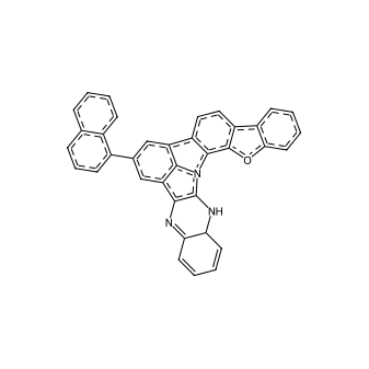 C1=CC2=Nc3c(n4c5c3cc(-c3cccc6ccccc36)cc5c3ccc5c6ccccc6oc5c34)NC2C=C1